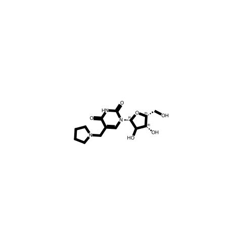 O=c1[nH]c(=O)n([C@@H]2O[C@H](CO)[C@H](O)C2O)cc1CN1CCCC1